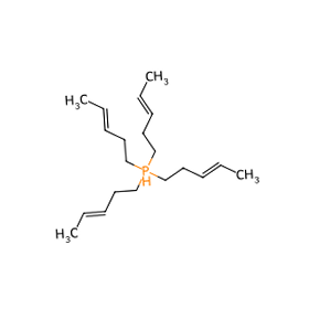 CC=CCC[PH](CCC=CC)(CCC=CC)CCC=CC